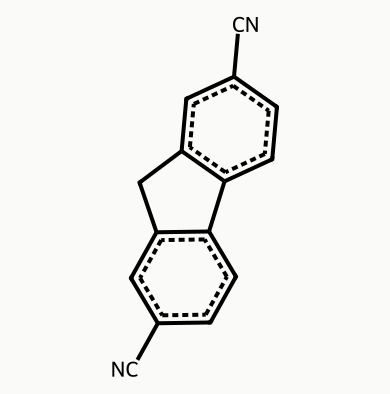 N#Cc1ccc2c(c1)Cc1cc(C#N)ccc1-2